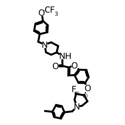 Cc1ccc(CN2CC[C@@H](Oc3ccc4oc(C(=O)NC5CCN(Cc6ccc(OC(F)(F)F)cc6)CC5)cc4c3)[C@H](F)C2)cc1